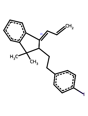 C=C/C=C1/c2ccccc2C(C)(C)C1CCc1ccc(I)cc1